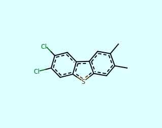 Cc1cc2sc3cc(Cl)c(Cl)cc3c2cc1C